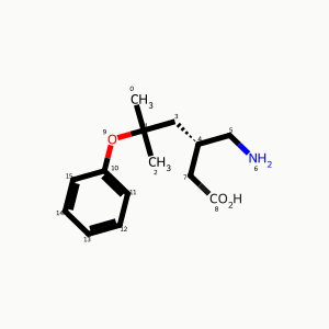 CC(C)(C[C@H](CN)CC(=O)O)Oc1ccccc1